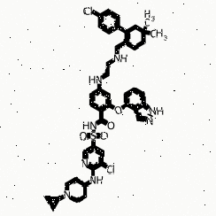 CC1(C)CCC(CNCCNc2ccc(C(=O)NS(=O)(=O)c3cnc(NC4CCN(C5CC5)CC4)c(Cl)c3)c(Oc3cccc4[nH]ncc34)c2)=C(c2ccc(Cl)cc2)C1